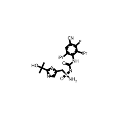 CC(C)c1cc(C#N)c(F)c(C(C)C)c1NC(=O)N=S(N)(=O)Cc1cnc(C(C)(C)O)s1